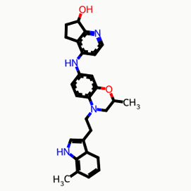 CC1=C2NC=C(CCN3CC(C)Oc4cc(Nc5ccnc6c5CCC6O)ccc43)C2CC=C1